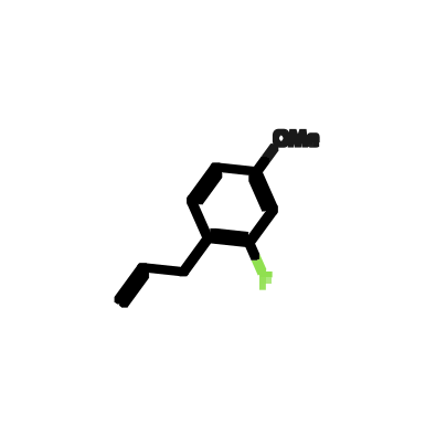 C=CCc1ccc(OC)cc1F